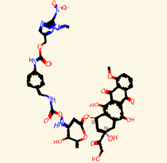 COc1cccc2c1C(=O)c1c(O)c3c(c(O)c1C2=O)C[C@@](O)(C(=O)CO)C[C@@H]3OC1CC(NOC(=O)NCc2ccc(NC(=O)OCc3cnc([N+](=O)[O-])n3C)cc2)C(O)C(C)O1